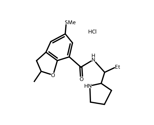 CCC(NC(=O)c1cc(SC)cc2c1OC(C)C2)C1CCCN1.Cl